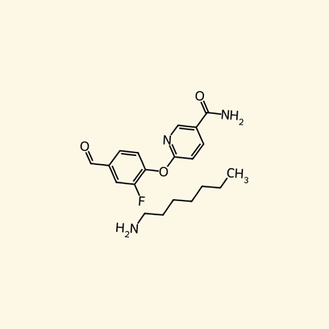 CCCCCCCN.NC(=O)c1ccc(Oc2ccc(C=O)cc2F)nc1